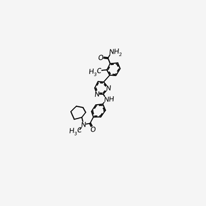 Cc1c(C(N)=O)cccc1-c1ccnc(Nc2ccc(C(=O)N(C)C3CCCCC3)cc2)n1